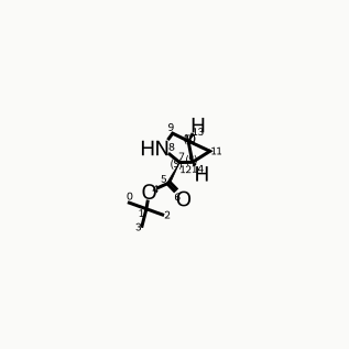 CC(C)(C)OC(=O)[C@H]1NC[C@@H]2C[C@@H]21